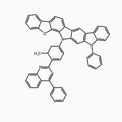 CC1CC(n2c3cc4c(cc3c3ccc5c6ccccc6oc5c32)c2ccccc2n4-c2ccccc2)=CC=C1c1cc(-c2ccccc2)c2ccccc2n1